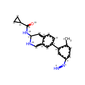 Cc1ccc(N=N)cc1-c1ccc2c(c1)=CNC(NC(=O)C1CC1)C=2